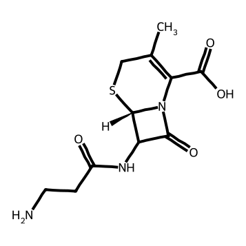 CC1=C(C(=O)O)N2C(=O)C(NC(=O)CCN)[C@@H]2SC1